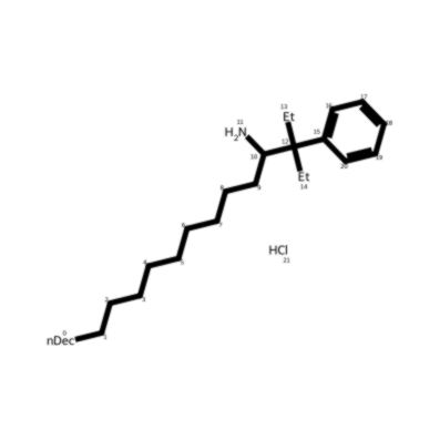 CCCCCCCCCCCCCCCCCCCC(N)C(CC)(CC)c1ccccc1.Cl